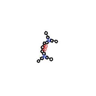 c1cc(N(c2ccc(C3CCCCC3)cc2)c2ccc3c(ccc4c5ccc6c7ccc8cc(N(c9ccc(C%10CCCCC%10)cc9)c9ccc(C%10CCCCC%10)cc9)ccc8c7oc6c5oc34)c2)ccc1C1CCCCC1